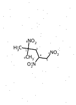 CC(C)(CC(C[N+](=O)[O-])[N+](=O)[O-])[N+](=O)[O-]